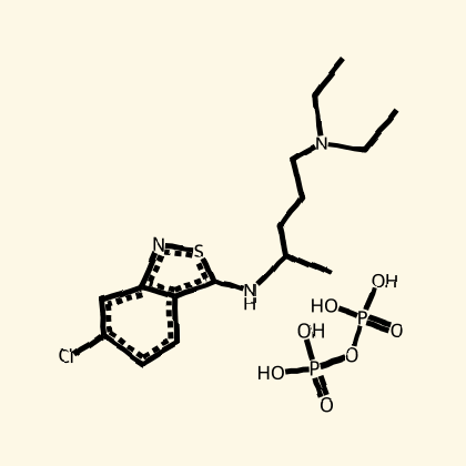 CCN(CC)CCCC(C)Nc1snc2cc(Cl)ccc12.O=P(O)(O)OP(=O)(O)O